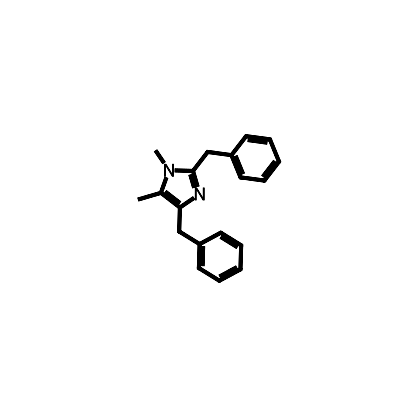 Cc1c(Cc2ccccc2)nc(Cc2ccccc2)n1C